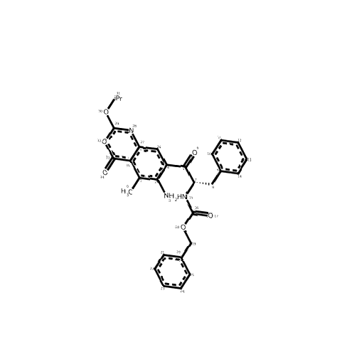 Cc1c(N)c(C(=O)[C@H](Cc2ccccc2)NC(=O)OCc2ccccc2)cc2nc(OC(C)C)oc(=O)c12